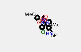 CCCNCc1ccc(C2(N3CCC[C@H]3c3ncco3)C(=O)N(S(=O)(=O)c3ccc(OC)cc3)c3ccc(Cl)cc32)c(OC)c1